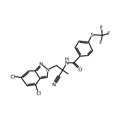 CC(C#N)(Cn1cc2c(Cl)cc(Cl)cc2n1)NC(=O)c1ccc(SC(F)(F)F)cc1